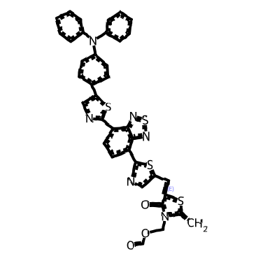 C=c1s/c(=C/c2cnc(-c3ccc(-c4ncc(-c5ccc(N(c6ccccc6)c6ccccc6)cc5)s4)c4nsnc34)s2)c(=O)n1COC=O